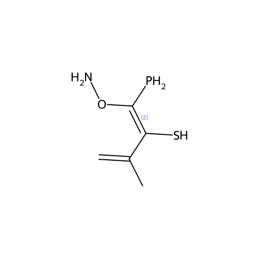 C=C(C)/C(S)=C(/P)ON